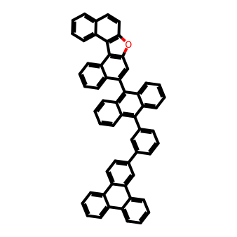 c1cc(-c2ccc3c4ccccc4c4ccccc4c3c2)cc(-c2c3ccccc3c(-c3cc4oc5ccc6ccccc6c5c4c4ccccc34)c3ccccc23)c1